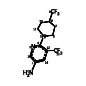 Nc1cnc(N2CCC(C(F)(F)F)CC2)c(C(F)(F)F)c1